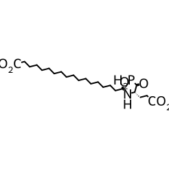 O=C(O)CCCCCCCCCCCCCCCCC(=O)N[C@@H](CCC(=O)O)C(=O)P